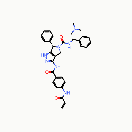 C=CC(=O)Nc1ccc(C(=O)Nc2n[nH]c3c2CN(C(=O)N[C@H](CN(C)C)c2ccccc2)[C@H]3c2ccccc2)cc1